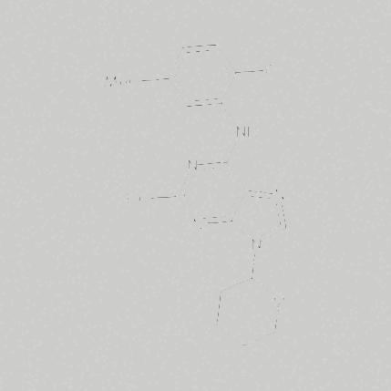 COc1ccc(Cl)c(Nc2nc(O)nc3c2ncn3C2CCCCO2)c1